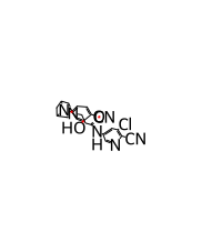 N#Cc1ccc(N2C3CC2CN(CC(O)C(=O)Nc2cnc(C#N)c(Cl)c2)C3)cc1